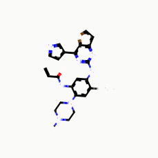 C=CC(=O)Nc1cc(Nc2nc(-c3cc[nH]c3)c3sccc3n2)c(OC)cc1N1CCN(C)CC1